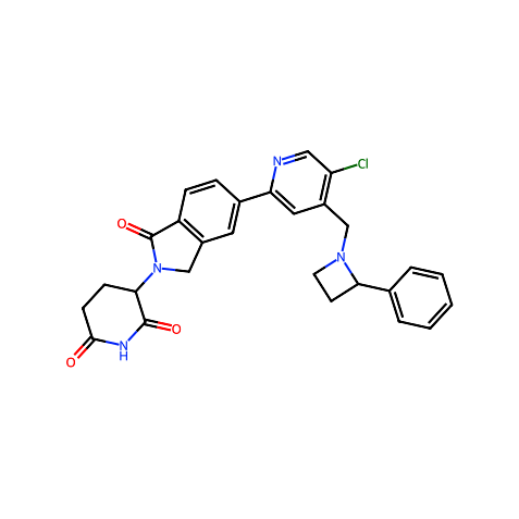 O=C1CCC(N2Cc3cc(-c4cc(CN5CCC5c5ccccc5)c(Cl)cn4)ccc3C2=O)C(=O)N1